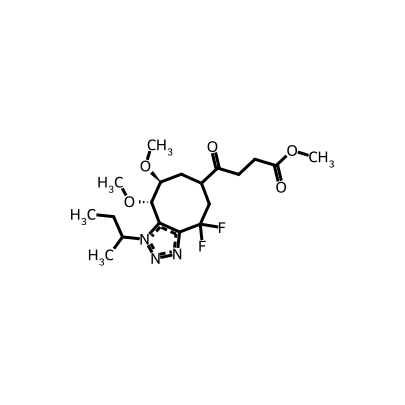 CCC(C)n1nnc2c1[C@H](OC)[C@@H](OC)CC(C(=O)CCC(=O)OC)CC2(F)F